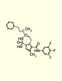 C[C@@H](CCc1ccccc1)[C@H]1CCc2c(cn(C)c2C(=O)Nc2cc(F)c(F)c(F)c2)S(=N)(=O)N1